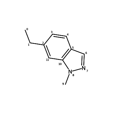 CCc1ccc2cnn(C)c2c1